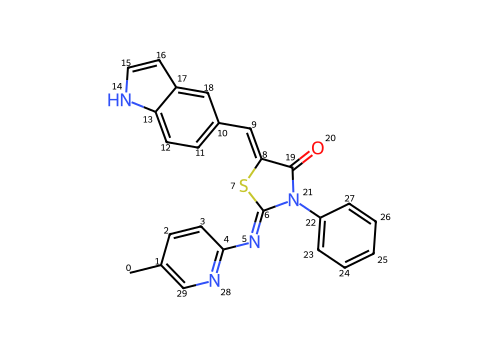 Cc1ccc(N=C2SC(=Cc3ccc4[nH]ccc4c3)C(=O)N2c2ccccc2)nc1